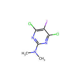 CN(C)c1nc(Cl)c(I)c(Cl)n1